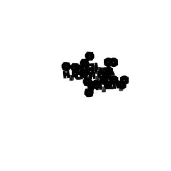 CC1(C)c2cc(-c3ccccc3)ccc2N2c3ccc(-c4ccccc4)cc3C(C)(C)c3cc(-c4ccc5c(c4)c4cc(-c6cc7c8c(c6)C(C)(C)c6cc(-c9cccc%10ccccc9%10)ccc6N8c6ccc(-c8cccc9ccccc89)cc6C7(C)C)ccc4n5-c4ccccc4)cc1c32